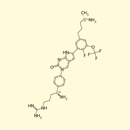 C[C@H](N)CCCc1cc(OC(F)(F)F)c(F)c(-c2cc3cn(-c4ccc([C@@H](N)CCCNC(=N)N)cc4)c(=O)nc3[nH]2)c1